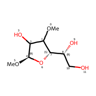 COC1C(O)[C@H](OC)O[C@H]1[C@H](O)CO